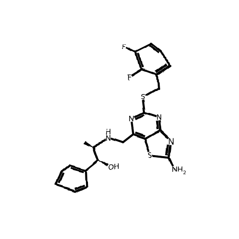 C[C@@H](NCc1nc(SCc2cccc(F)c2F)nc2nc(N)sc12)[C@@H](O)c1ccccc1